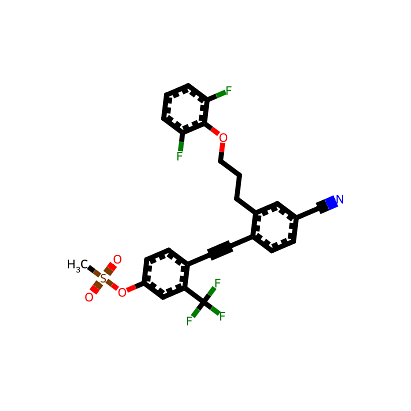 CS(=O)(=O)Oc1ccc(C#Cc2ccc(C#N)cc2CCCOc2c(F)cccc2F)c(C(F)(F)F)c1